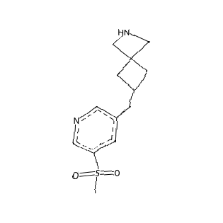 CS(=O)(=O)c1cncc(CC2CC3(CNC3)C2)c1